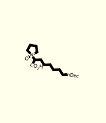 CCCCCCCCCCCCCCCCC(C(=O)O)[N+]1([O-])CCCC1